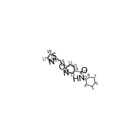 O=C(NC1CCCCC1)c1ccc(OCc2nccs2)nc1